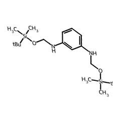 CC(C)(C)[Si](C)(C)OCNc1cccc(NCO[Si](C)(C)C(C)(C)C)c1